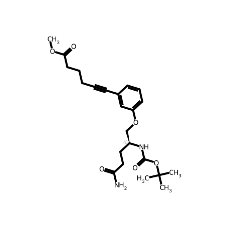 COC(=O)CCCC#Cc1cccc(OC[C@H](CCC(N)=O)NC(=O)OC(C)(C)C)c1